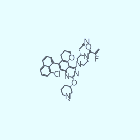 C=C(F)C(=O)N1CCN(c2nc(OC3CCCN(C)C3)nc3cc(-c4cccc5cccc(Cl)c45)c4c(c23)OCCC4)C[C@@H]1CC#N